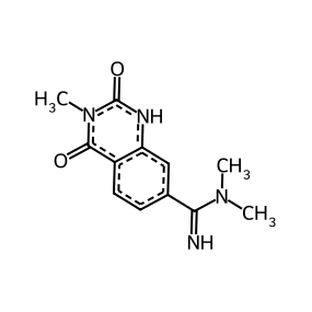 CN(C)C(=N)c1ccc2c(=O)n(C)c(=O)[nH]c2c1